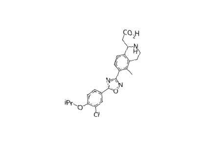 Cc1c(-c2noc(-c3ccc(OC(C)C)c(Cl)c3)n2)ccc2c1CCNC2CC(=O)O